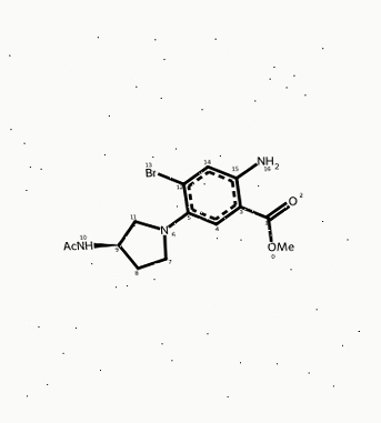 COC(=O)c1cc(N2CC[C@@H](NC(C)=O)C2)c(Br)cc1N